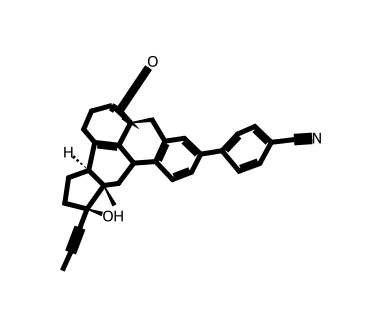 CC#C[C@]1(O)CC[C@H]2C3=C4C(C[C@@]21C)c1ccc(-c2ccc(C#N)cc2)cc1C[C@@]41CCC(=O)C=C1CC3